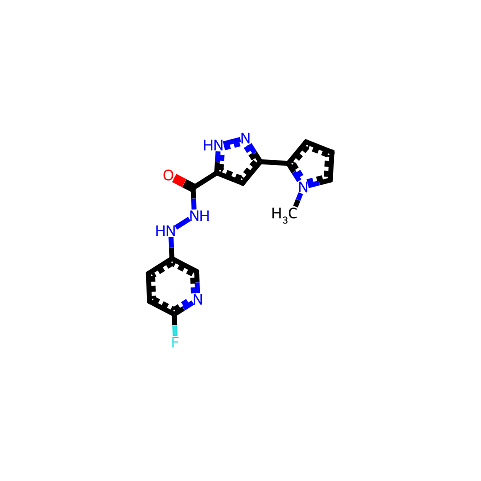 Cn1cccc1-c1cc(C(=O)NNc2ccc(F)nc2)[nH]n1